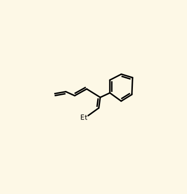 C=CC=CC(=CCC)c1ccccc1